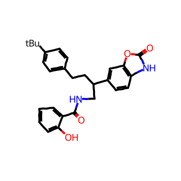 CC(C)(C)c1ccc(CCC(CNC(=O)c2ccccc2O)c2ccc3[nH]c(=O)oc3c2)cc1